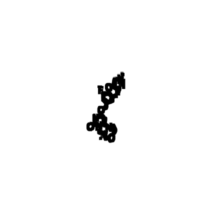 Cn1cc(Oc2c(F)cc(COc3cc4n(c(=O)n3)C[C@]3(C)COCCN43)cc2F)cn1